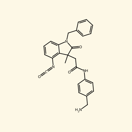 CC1(CC(=O)Nc2ccc(CN)cc2)C(=O)N(Cc2ccccc2)c2cccc(N=C=O)c21